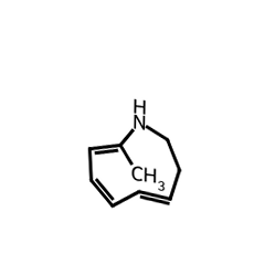 C\C1=C/C=C\C=C\CCN1